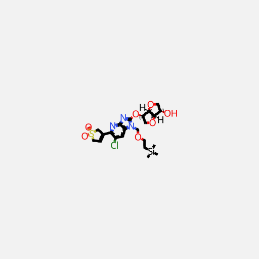 C[Si](C)(C)CCOCn1c(O[C@@H]2CO[C@H]3[C@@H]2OC[C@H]3O)nc2nc(C3=CCS(=O)(=O)C3)c(Cl)cc21